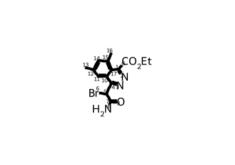 CCOC(=O)c1nnc(C(Br)C(N)=O)c2cc(C)cc(C)c12